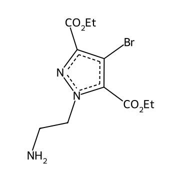 CCOC(=O)c1nn(CCN)c(C(=O)OCC)c1Br